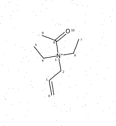 C=CC[N+](CC)(CC)C(C)=O